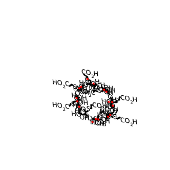 O=C(O)CCSCC1O[C@@H]2O[C@@H]3C(CSCCC(=O)O)O[C@H](O[C@@H]4C(CSCCC(=O)O)O[C@H](O[C@@H]5C(CSCCC(=O)O)O[C@H](O[C@@H]6C(CSCCC(=O)O)O[C@H](O[C@@H]7C(CSCCC(=O)O)O[C@H](O[C@@H]8C(CSCCC(=O)O)O[C@H](O[C@@H]9C(CSCCC(=O)O)O[C@H](O[C@H]1C(O)[C@H]2O)[C@H](O)C9O)[C@H](O)C8O)[C@H](O)C7O)[C@H](O)C6O)[C@H](O)C5O)[C@H](O)C4O)[C@H](O)C3O